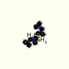 Cc1ccc2c(c1Sc1ccc3c(c1C)c1ccccc1n3-c1cccc(-n3c4ccccc4c4ccccc43)c1)c1ccccc1n2-c1cccc(-n2c3ccccc3c3ccccc32)c1